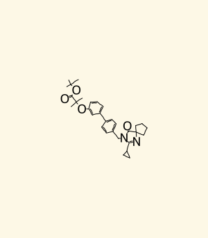 CC(C)(C)OC(=O)C(C)(C)Oc1cccc(-c2ccc(CN3C(=O)C4(CCCC4)N=C3C3CC3)cc2)c1